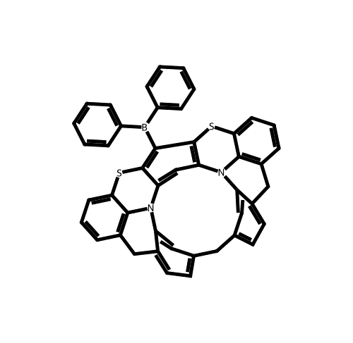 c1ccc(B(c2ccccc2)c2c3sc4cccc5c4n4c3cc3c2sc2cccc6c2n3-c2cc(ccc2C6)Cc2ccc(c-4c2)C5)cc1